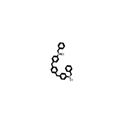 CCN(Cc1ccccc1)c1ccc(Cc2ccc(Cc3ccc(N(CC)Cc4ccccc4)cc3)cc2)cc1